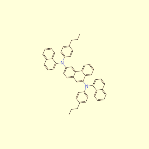 CCCc1ccc(N(c2ccc3cc(N(c4ccc(CCC)cc4)c4cccc5ccccc45)c4ccccc4c3c2)c2cccc3ccccc23)cc1